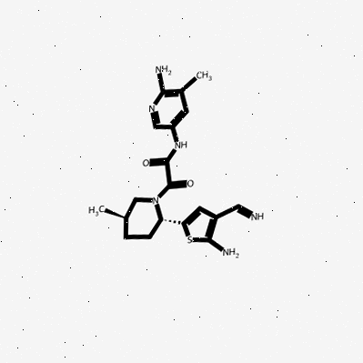 Cc1cc(NC(=O)C(=O)N2C[C@H](C)CC[C@H]2c2cc(C=N)c(N)s2)cnc1N